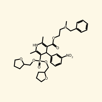 CC1=C(C(=O)OCCN(C)Cc2ccccc2)C(c2cccc([N+](=O)[O-])c2)C(P(=O)(OCC2CCCO2)OCC2CCCO2)=C(C)N1